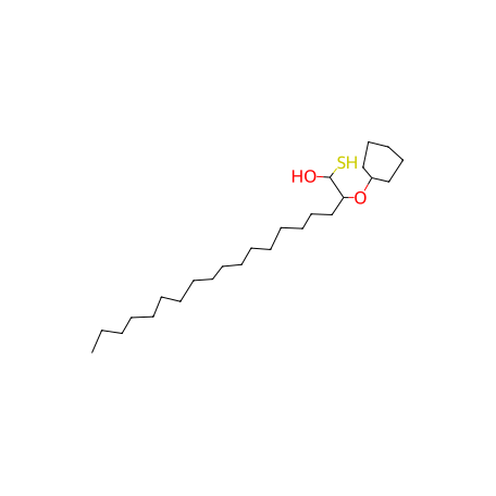 CCCCCCCCCCCCCCCCCC(OC1CCCCC1)C(O)S